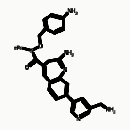 CCCN(OCc1ccc(N)cc1)C(=O)C1=Cc2ccc(-c3cncc(CN)c3)cc2N=C(N)C1